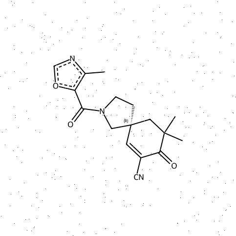 Cc1ncoc1C(=O)N1CC[C@]2(C=C(C#N)C(=O)C(C)(C)C2)C1